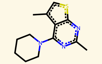 Cc1nc(N2CCCCC2)c2c(C)csc2n1